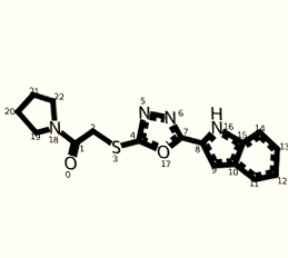 O=C(CSc1nnc(-c2cc3ccccc3[nH]2)o1)N1CCCC1